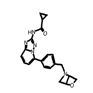 O=C(Nc1nc2cccc(-c3ccc(CN4CC5OCC54)cc3)n2n1)C1CC1